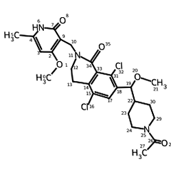 COc1cc(C)[nH]c(=O)c1CN1CCc2c(Cl)cc(C(OC)C3CCN(C(C)=O)CC3)c(Cl)c2C1=O